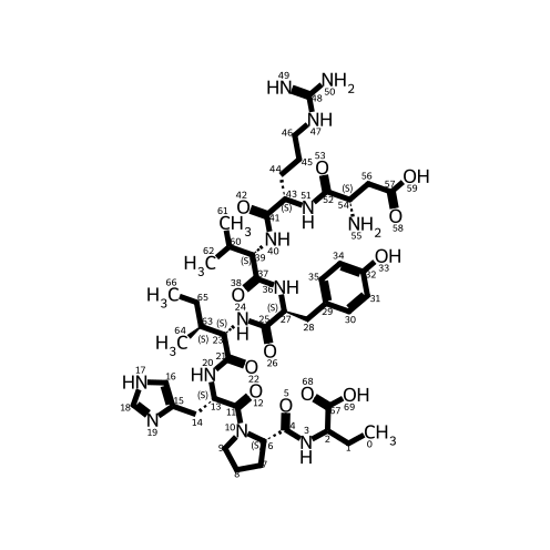 CCC(NC(=O)[C@@H]1CCCN1C(=O)[C@H](Cc1c[nH]cn1)NC(=O)[C@@H](NC(=O)[C@H](Cc1ccc(O)cc1)NC(=O)[C@@H](NC(=O)[C@H](CCCNC(=N)N)NC(=O)[C@@H](N)CC(=O)O)C(C)C)[C@@H](C)CC)C(=O)O